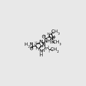 C=CC[C@H]1CNc2cc(C(N)=O)cc3nc(NC(=O)c4cc(C)nn4CC)n1c23